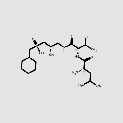 CC(C)C[C@H](N)C(=O)N[C@H](C(=O)NC[C@H](O)CP(=O)(O)CC1CCCCC1)C(C)C